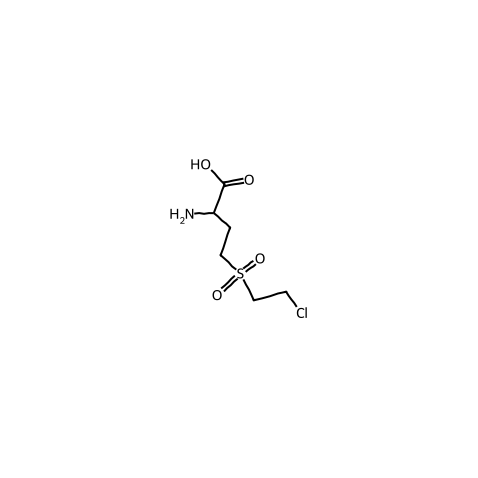 NC(CCS(=O)(=O)CCCl)C(=O)O